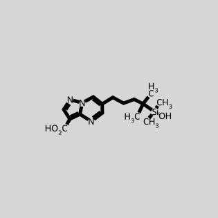 CC(C)(CCCc1cnc2c(C(=O)O)cnn2c1)[Si](C)(C)O